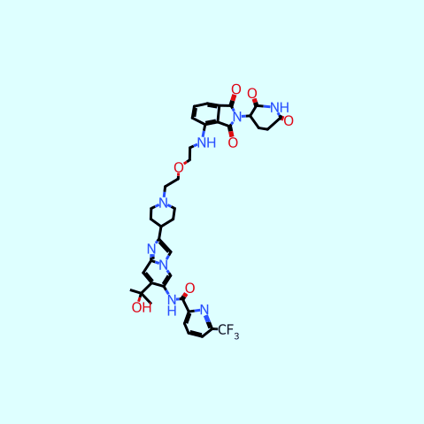 CC(C)(O)c1cc2nc(C3CCN(CCOCCNc4cccc5c4C(=O)N(C4CCC(=O)NC4=O)C5=O)CC3)cn2cc1NC(=O)c1cccc(C(F)(F)F)n1